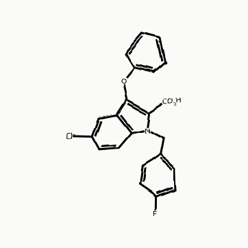 O=C(O)c1c(Oc2ccccc2)c2cc(Cl)ccc2n1Cc1ccc(F)cc1